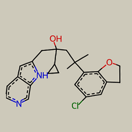 CC(C)(CC(O)(Cc1cc2ccncc2[nH]1)C1CC1)c1cc(Cl)cc2c1OCC2